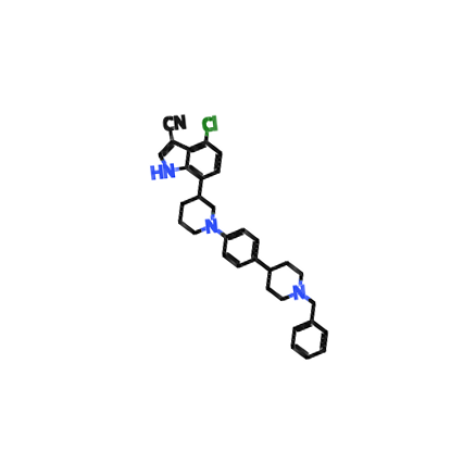 N#Cc1c[nH]c2c(C3CCCN(c4ccc(C5CCN(Cc6ccccc6)CC5)cc4)C3)ccc(Cl)c12